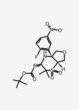 CC(C)(C)OC(=O)/N=C1/N[C@]2(c3cc([N+](=O)[O-])ccc3F)COC[C@@H]2S(=O)(=O)C1(C)C